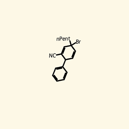 CCCCCC1(Br)C=CC(c2ccccc2)C(C#N)=C1